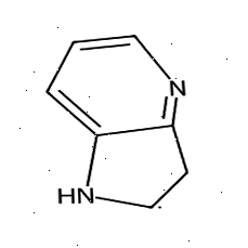 [CH]1Cc2ncccc2N1